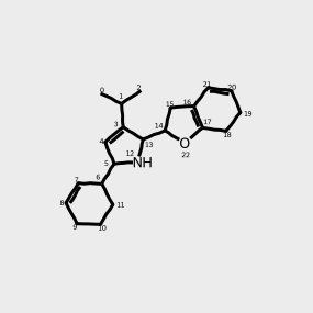 CC(C)C1=CC(C2C=CCCC2)NC1C1CC2=C(CCC=C2)O1